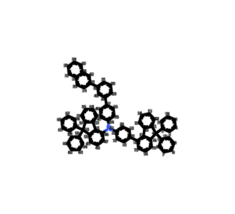 c1ccc(C2(c3ccccc3)c3ccccc3-c3c(-c4ccc(N(c5ccc(-c6cccc(-c7ccc8ccccc8c7)c6)cc5)c5cccc6c5-c5ccccc5C6(c5ccccc5)c5ccccc5)cc4)cccc32)cc1